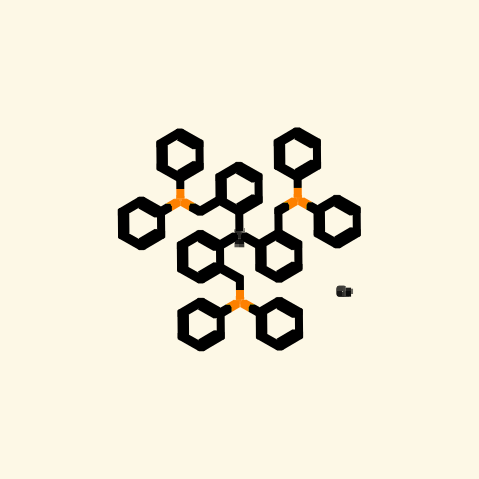 [Cu].c1ccc(P(Cc2ccccc2[SiH](c2ccccc2CP(c2ccccc2)c2ccccc2)c2ccccc2CP(c2ccccc2)c2ccccc2)c2ccccc2)cc1